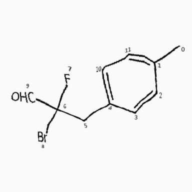 Cc1ccc(CC(F)(Br)C=O)cc1